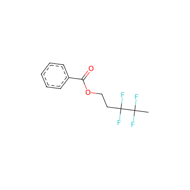 CC(F)(F)C(F)(F)CCOC(=O)c1ccccc1